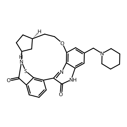 O=c1[nH]c2cc(CN3CCCCC3)cc3c2nc1-c1cccc2c(=O)n(sc12)[C@H]1CC[C@@H](CCO3)C1